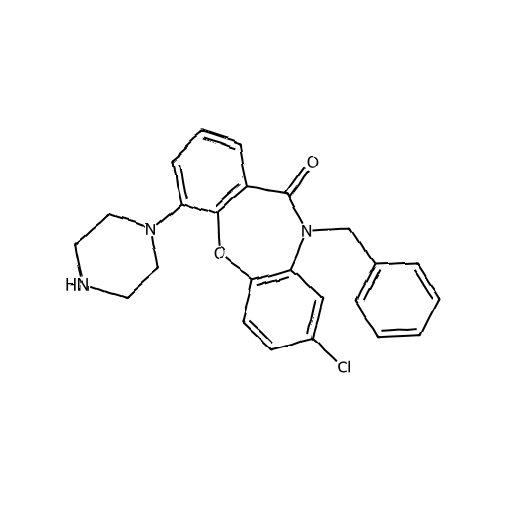 O=C1c2cccc(N3CCNCC3)c2Oc2ccc(Cl)cc2N1Cc1ccccc1